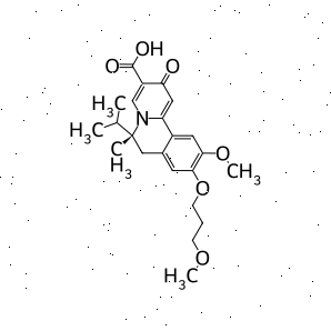 COCCCOc1cc2c(cc1OC)-c1cc(=O)c(C(=O)O)cn1[C@@](C)(C(C)C)C2